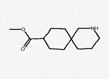 COC(=O)C1CCC2(CCCNC2)CC1